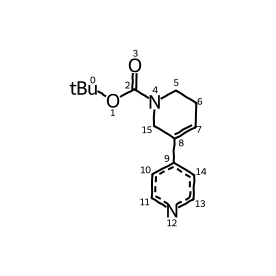 CC(C)(C)OC(=O)N1CCC=C(c2ccncc2)C1